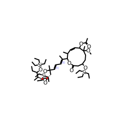 CCC(O[Si](CC)(CC)CC)C(C)[C@@H]1O[C@H]1CC(C)(/C=C/C=C(\C)C1OC(=O)CC(O[Si](CC)(CC)CC)CCC(C)(OC)C(OC(C)=O)C=CC1C)O[Si](CC)(CC)CC